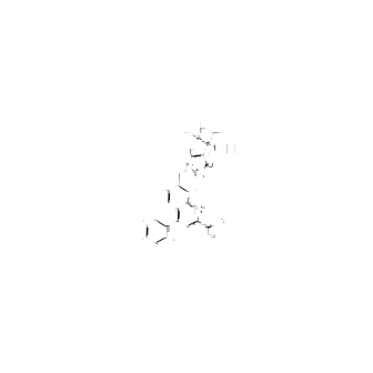 CC[C@](O)(c1cn(Cc2ccc3c(-c4ccccc4)cc(C(=O)O)nc3c2)nn1)C(F)(F)F